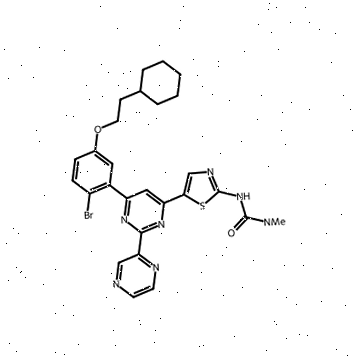 CNC(=O)Nc1ncc(-c2cc(-c3cc(OCCC4CCCCC4)ccc3Br)nc(-c3cnccn3)n2)s1